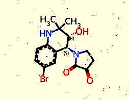 CC1(C)Nc2ccc(Br)cc2[C@H](N2CCC(=O)C2=O)[C@H]1O